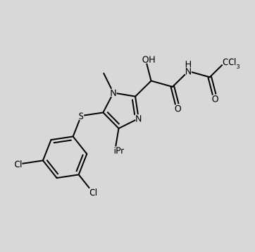 CC(C)c1nc(C(O)C(=O)NC(=O)C(Cl)(Cl)Cl)n(C)c1Sc1cc(Cl)cc(Cl)c1